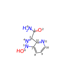 NC(=O)c1nn(O)c2cccnc12